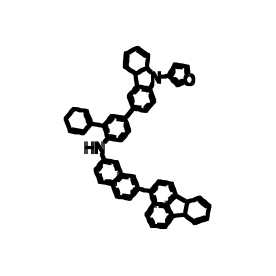 C1=CC2c3cccc4c(-c5ccc6ccc(Nc7ccc(-c8ccc9c(c8)C8C=CC=CC8N9c8ccoc8)cc7C7=CCCC=C7)cc6c5)ccc(c34)C2C=C1